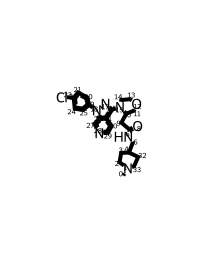 CN1CCC(CNC(=O)CC2COCCN2c2nn(-c3ccc(Cl)cc3)c3cnccc23)CC1